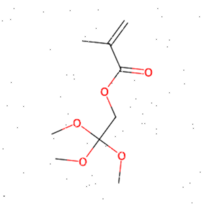 C=C(C)C(=O)OCC(OC)(OC)OC